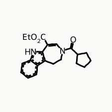 CCOC(=O)C1=CN(C(=O)C2CCCC2)CCc2c1[nH]c1ccccc21